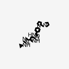 O=C(Nc1cc(-c2cncc(NC3CC3)n2)c[nH]c1=O)c1ccc(N2CCCC2CN2CCCC2)cc1